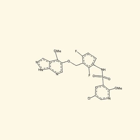 COc1ncc(Cl)cc1S(=O)(=O)Nc1ccc(F)c(COc2cnc3[nH]ncc3c2OC)c1F